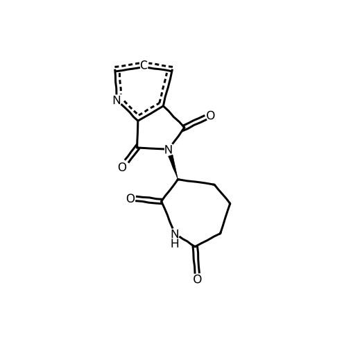 O=C1CCC[C@H](N2C(=O)c3cccnc3C2=O)C(=O)N1